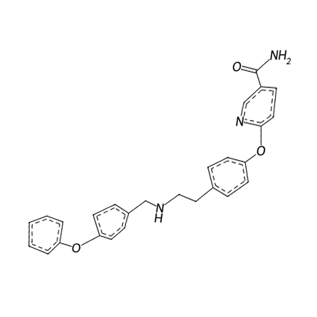 NC(=O)c1ccc(Oc2ccc(CCNCc3ccc(Oc4ccccc4)cc3)cc2)nc1